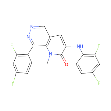 Cn1c(=O)c(Nc2ccc(F)cc2F)cc2cnnc(-c3ccc(F)cc3F)c21